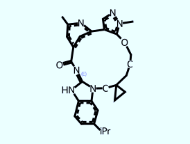 Cc1cc2cc(n1)-c1cnn(C)c1OCCCC1(CC1)CN1/C(=N/C2=O)Nc2ccc(C(C)C)cc21